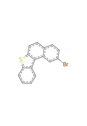 Brc1ccc2ccc3sc4ccccc4c3c2c1